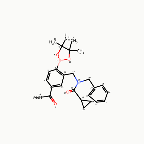 CNC(=O)c1ccc(B2OC(C)(C)C(C)(C)O2)c(CN(Cc2ccccc2)C(=O)C2CC2)c1